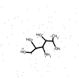 [CH2]C(O)C(O)C(N)C(O)CO